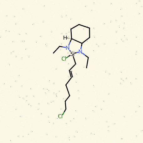 CCN1C2CCCC[C@@H]2N(CC)[Si]1(Cl)C/C=C/CCCCCl